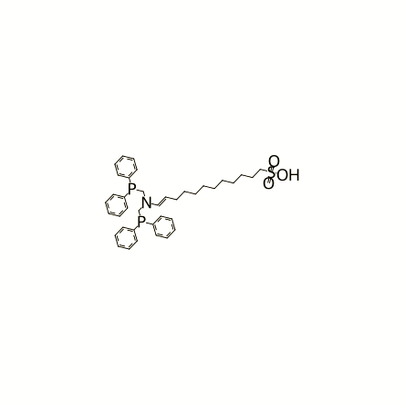 O=S(=O)(O)CCCCCCCCCCC=CN(CP(c1ccccc1)c1ccccc1)CP(c1ccccc1)c1ccccc1